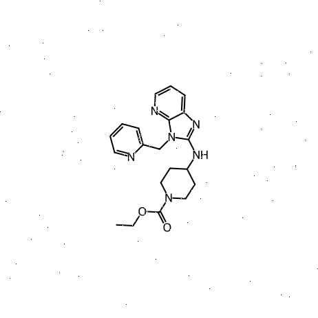 CCOC(=O)N1CCC(Nc2nc3cccnc3n2Cc2ccccn2)CC1